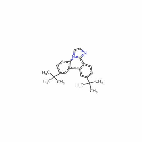 CC(C)(C)c1ccc2c(c1)c1cc(C(C)(C)C)ccc1n1ccnc21